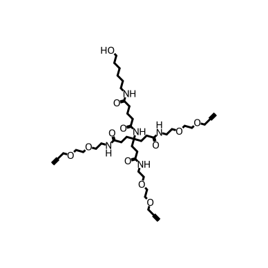 C#CCOCCOCCNC(=O)CCC(CCC(=O)NCCOCCOCC#C)(CCC(=O)NCCOCCOCC#C)NC(=O)CCCC(=O)NCCCCCCO